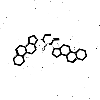 C=CC([C@H]1CCC2C3CC=C4CCCC[C@]4(C)C3CC[C@@]21C)[S+]([O-])C(C=C)[C@H]1CCC2C3CC=C4CCCC[C@]4(C)C3CC[C@@]21C